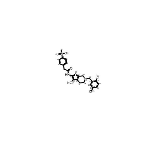 CS(=O)(=O)C1=C=C=C(CC(=O)Nc2sc3c(c2C#N)CCN(Cc2cc(Cl)ccc2Cl)C3)C=C1